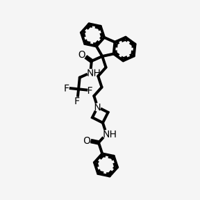 O=C(NC1CN(CCCCC2(C(=O)NCC(F)(F)F)c3ccccc3-c3ccccc32)C1)c1ccccc1